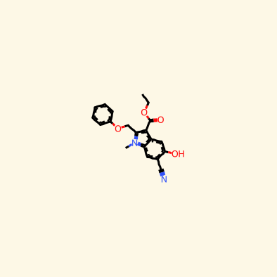 CCOC(=O)c1c(COc2ccccc2)n(C)c2cc(C#N)c(O)cc12